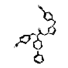 N#Cc1ccc(CN2C=CN(CC(=O)N(Cc3ccc(C#N)cc3)C3CCN(c4ccccc4)CC3)C2)cc1